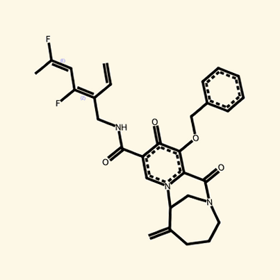 C=C/C(CNC(=O)c1cn2c(c(OCc3ccccc3)c1=O)C(=O)N1CCCC(=C)C2C1)=C(F)\C=C(/C)F